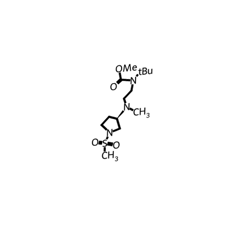 COC(=O)N(CCN(C)[C@@H]1CCN(S(C)(=O)=O)C1)C(C)(C)C